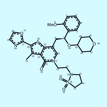 COc1ccccc1[C@H](Cc1cn(CCN2CCCS2(=O)=O)c(=O)c2c(C)c(-c3ncco3)sc12)OC1CCOCC1